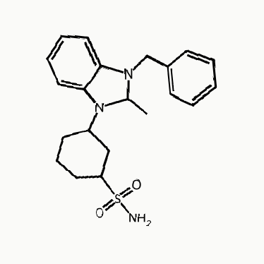 CC1N(Cc2ccccc2)c2ccccc2N1C1CCCC(S(N)(=O)=O)C1